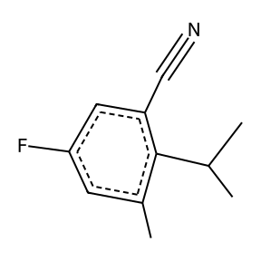 Cc1cc(F)cc(C#N)c1C(C)C